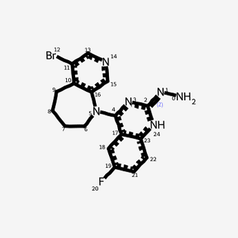 N/N=c1/nc(N2CCCCc3c(Br)cncc32)c2cc(F)ccc2[nH]1